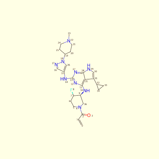 C=CC(=O)N1CC[C@@H](F)[C@@H](Nc2nc(Nc3cnn(C4CCN(C)CC4)c3)nc3[nH]cc(C4CC4)c23)C1